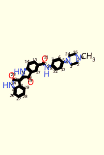 CN1CCN(c2ccc(NC(=O)c3ccc4c(c3)C(=O)/C(=C3/C(=O)Nc5ccccc53)N4)cc2)CC1